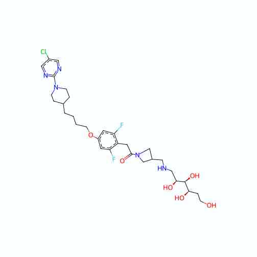 O=C(Cc1c(F)cc(OCCCCC2CCN(c3ncc(Cl)cn3)CC2)cc1F)N1CC(CNC[C@H](O)[C@@H](O)[C@H](O)CCO)C1